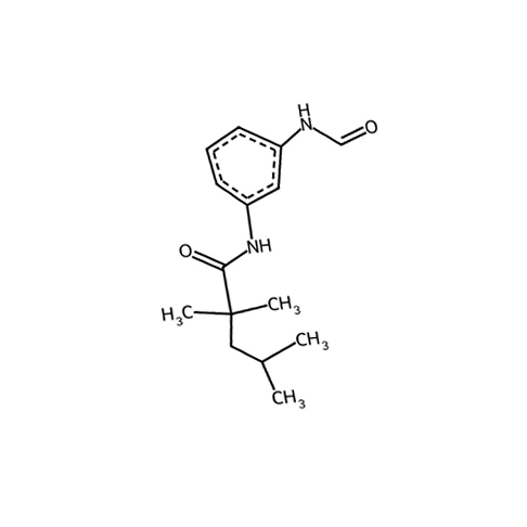 CC(C)CC(C)(C)C(=O)Nc1cccc(NC=O)c1